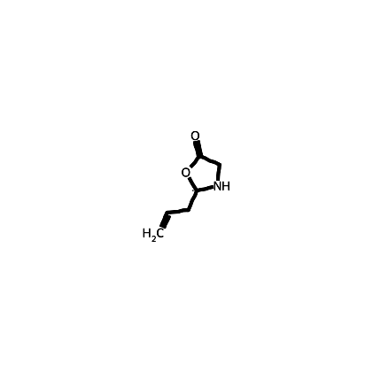 C=CC[C]1NCC(=O)O1